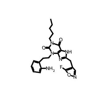 CCCCCn1c(=O)c2[nH]c(Cc3cnoc3F)nc2n(CCc2ccccc2N)c1=O